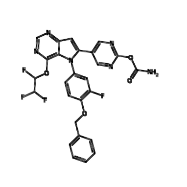 NC(=O)Oc1ncc(-c2cc3ncnc(OC(F)C(F)F)c3n2-c2ccc(OCc3ccccc3)c(F)c2)cn1